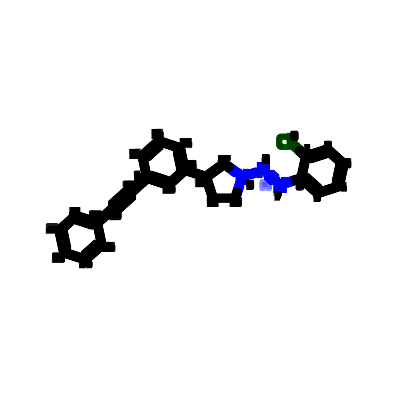 Clc1ccccc1/N=N/N1CCC(c2cccc(C#Cc3ccccc3)c2)C1